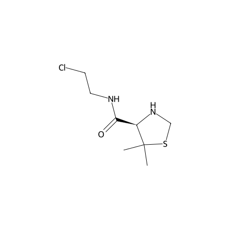 CC1(C)SCN[C@@H]1C(=O)NCCCl